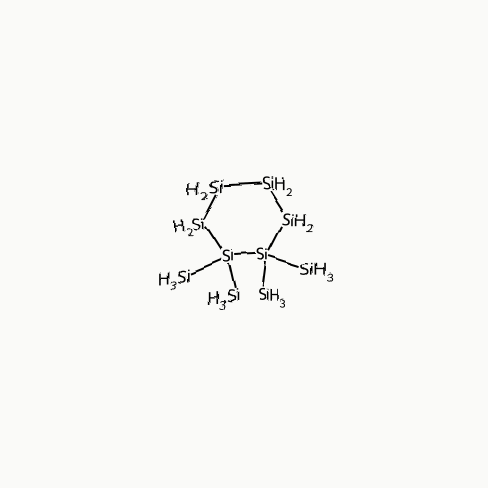 [SiH3][Si]1([SiH3])[SiH2][SiH2][SiH2][SiH2][Si]1([SiH3])[SiH3]